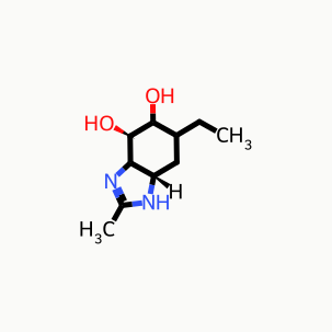 CCC1C[C@@H]2NC(C)=NC2[C@@H](O)C1O